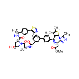 COC(=O)C[C@@H]1N=C(c2ccc(-c3cccc(CC(=O)N[C@H](C(=O)N4C[C@H](O)C[C@H]4C(=O)N[C@@H](C)c4ccc(-c5scnc5C)cc4)C(C)(C)C)c3)cc2)c2c(sc(C)c2C)-n2c(C)nnc21